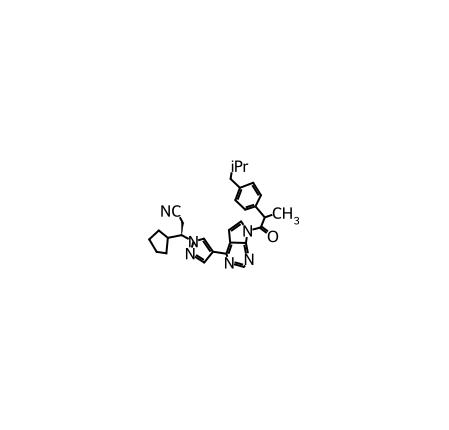 CC(C)Cc1ccc(C(C)C(=O)n2ccc3c(-c4cnn([C@H](CC#N)C5CCCC5)c4)ncnc32)cc1